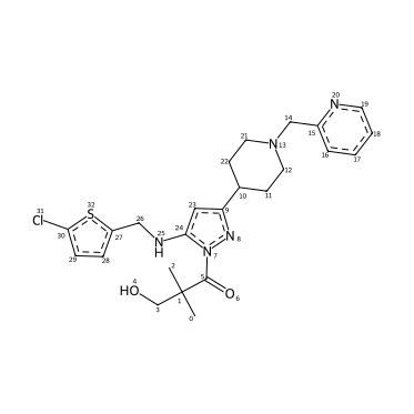 CC(C)(CO)C(=O)n1nc(C2CCN(Cc3ccccn3)CC2)cc1NCc1ccc(Cl)s1